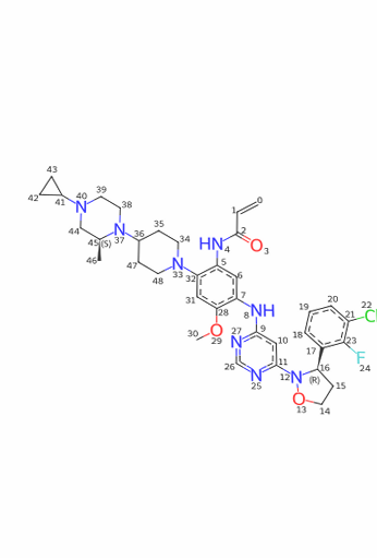 C=CC(=O)Nc1cc(Nc2cc(N3OCC[C@@H]3c3cccc(Cl)c3F)ncn2)c(OC)cc1N1CCC(N2CCN(C3CC3)C[C@@H]2C)CC1